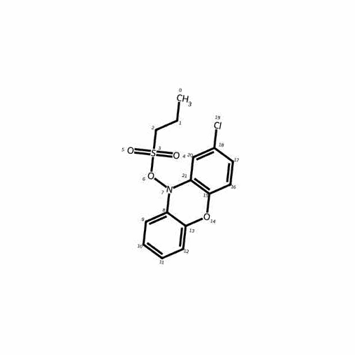 CCCS(=O)(=O)ON1c2ccccc2Oc2ccc(Cl)cc21